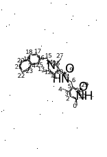 Cc1cc(C)c(CNC(=O)c2cc(C)n(Cc3ccc4ccccc4c3)c2C)c(=O)[nH]1